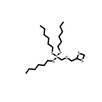 CCCCCCSS(CSCC1SCS1)(SCCCCCC)SCCCCCC